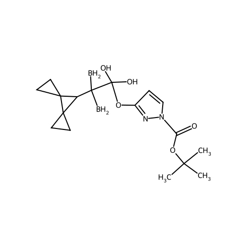 BC(B)(C1C2(CC2)C12CC2)C(O)(O)Oc1ccn(C(=O)OC(C)(C)C)n1